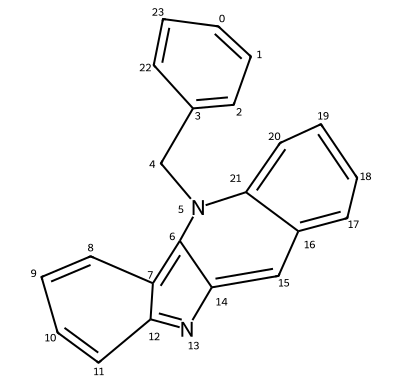 c1ccc(Cn2c3c4ccccc4nc-3cc3ccccc32)cc1